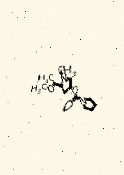 CO[C@@H](C)[C@@H]1CC(OC(=O)N2CCCC2)CN1C